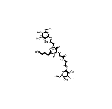 NCCCC(=O)N[C@@H](CCC(=O)NCCO[C@H]1O[C@H](CO)[C@@H](O)[C@H](O)[C@@H]1O)C(=O)NCCO[C@H]1O[C@H](CO)[C@@H](O)[C@H](O)[C@@H]1O